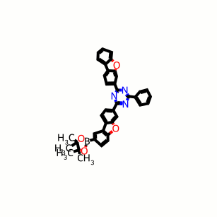 CC1(C)OB(c2ccc3oc4cc(-c5nc(-c6ccccc6)nc(-c6ccc7c(c6)oc6ccccc67)n5)ccc4c3c2)OC1(C)C